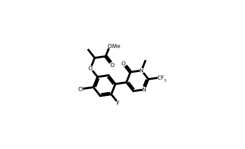 COC(=O)C(C)Oc1cc(-c2cnc(C(F)(F)F)n(C)c2=O)c(F)cc1Cl